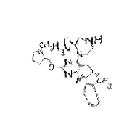 CC1CNCCN1c1nc(OCC2CCCN2C)nc2nc(-c3ccccc3C(F)(F)F)c(F)cc12